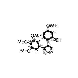 COc1ccc(-c2cnoc2-c2cc(OC)c(OC)c(OC)c2)c(O)c1